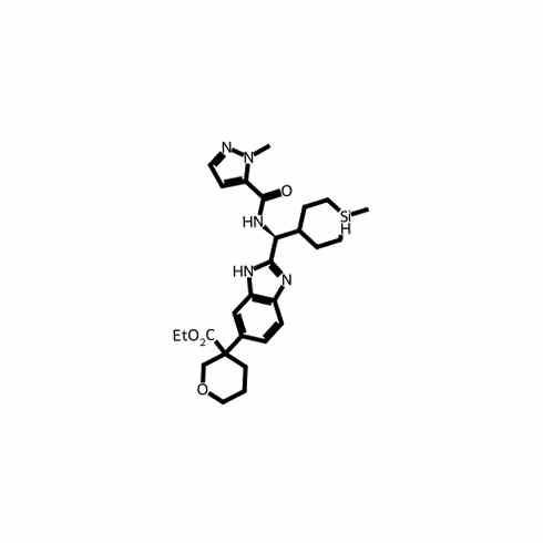 CCOC(=O)C1(c2ccc3nc([C@@H](NC(=O)c4ccnn4C)C4CC[SiH](C)CC4)[nH]c3c2)CCCOC1